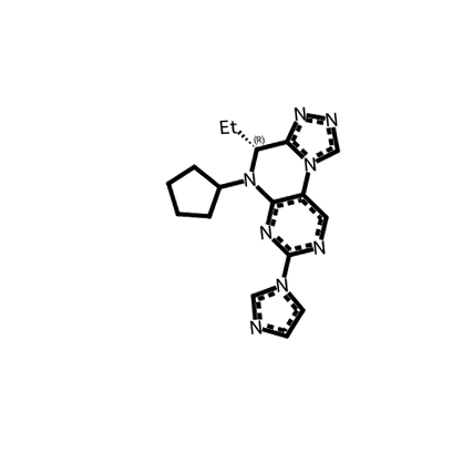 CC[C@@H]1c2nncn2-c2cnc(-n3ccnc3)nc2N1C1CCCC1